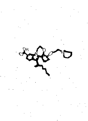 CCCCCC(C)c1c2n(c3cc(C(=O)O)ccc13)CCOc1c(OCCN3CCCCC3)cccc1-2